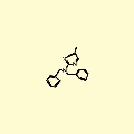 Cc1cnc(N(Cc2ccccc2)Cc2ccccc2)nc1